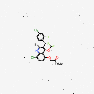 CCc1nc2c(Cl)ccc(OCC(=O)OC)c2c(OC(F)F)c1Cc1ccc(Cl)cc1F